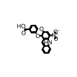 O=C(O)c1cccc(OC2C(=O)C=C([N+](=O)[O-])C3=C2C=C2C=CC=CC2N3)c1